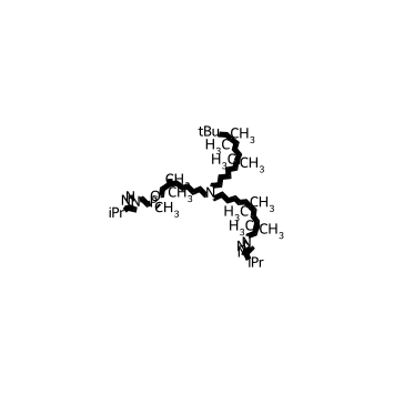 CC(C)c1cn(CCP(C)OCCC(C)(C)CCCCCCN(CCCCCCC(C)(C)CCCC(C)(C)CCn2cc(C(C)C)nn2)CCCCCCC(C)(C)CCCC(C)(C)CCC(C)(C)C)nn1